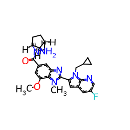 COc1cc(C(=O)N2C[C@H]3CC[C@@H]2[C@@H]3N)cc2nc(-c3cc4cc(F)cnc4n3CC3CC3)n(C)c12